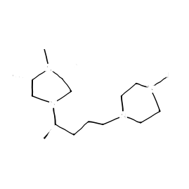 CCN1CCN(CCC[C@@H](C)N2C[C@@H](C)N(C)[C@@H](C)C2)CC1